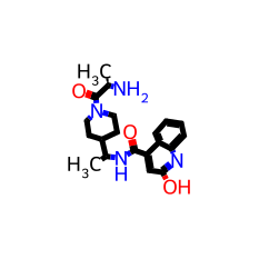 CC(NC(=O)c1cc(O)nc2ccccc12)C1CCN(C(=O)[C@H](C)N)CC1